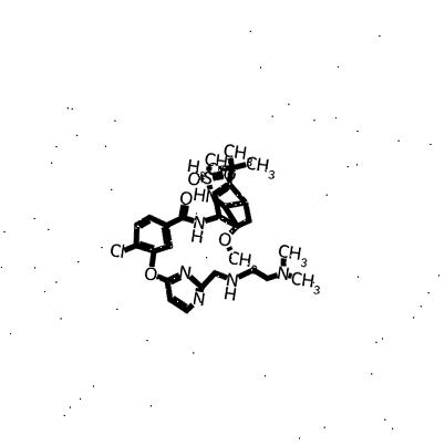 COC12CC(C(C(C)(C)C)=CC1NC(=O)c1ccc(Cl)c(Oc3ccnc(CNCCN(C)C)n3)c1)C2NS(C)(=O)=O